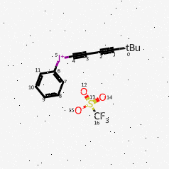 CC(C)(C)C#CC#C[I+]c1ccccc1.O=S(=O)([O-])C(F)(F)F